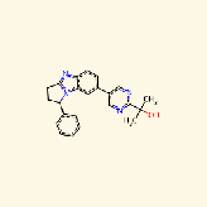 CC(C)(O)c1ncc(-c2ccc3nc4n(c3c2)[C@@H](c2ccccc2)CC4)cn1